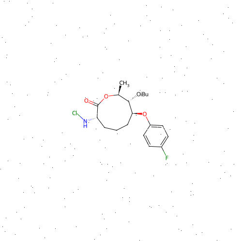 CC(C)CO[C@H]1[C@H](C)OC(=O)[C@@H](NCl)CCC[C@@H]1Oc1ccc(F)cc1